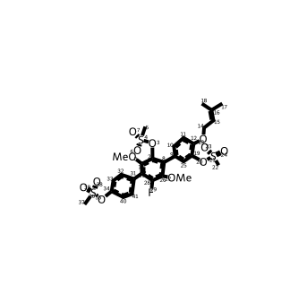 COc1c(OS(C)(=O)=O)c(-c2ccc(OCC=C(C)C)c(OS(C)(=O)=O)c2)c(OC)c(F)c1-c1ccc(OS(C)(=O)=O)cc1